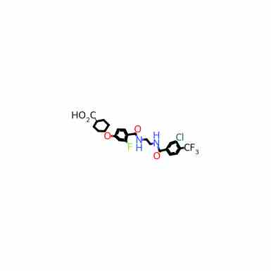 O=C(NCCNC(=O)c1ccc(O[C@H]2CC[C@@H](C(=O)O)CC2)cc1F)c1ccc(C(F)(F)F)c(Cl)c1